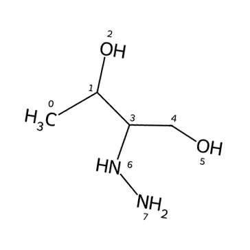 CC(O)C(CO)NN